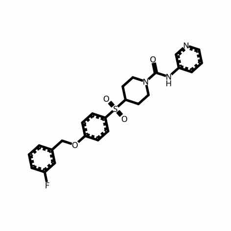 O=C(Nc1cccnc1)N1CCC(S(=O)(=O)c2ccc(OCc3cccc(F)c3)cc2)CC1